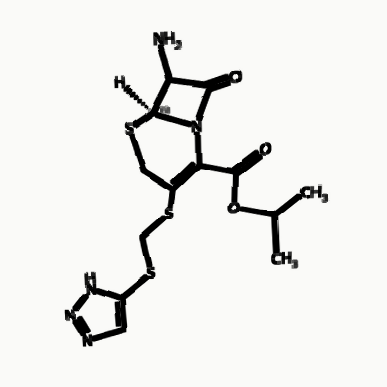 CC(C)OC(=O)C1=C(SCSc2cnn[nH]2)CS[C@H]2C(N)C(=O)N12